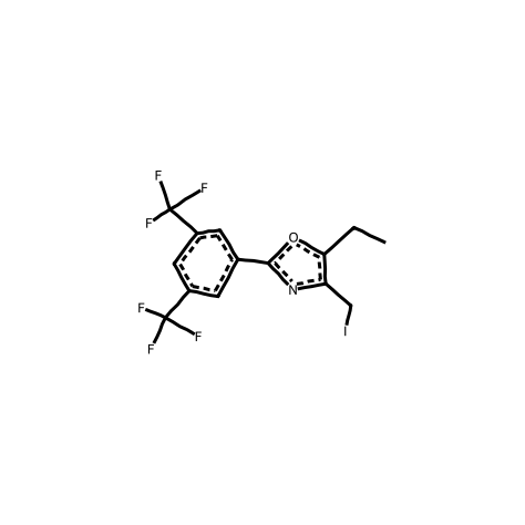 CCc1oc(-c2cc(C(F)(F)F)cc(C(F)(F)F)c2)nc1CI